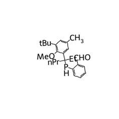 CCCC(CC)(Pc1ccccc1C=O)c1cc(C)cc(C(C)(C)C)c1OC